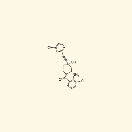 Nc1c(Cl)cccc1C(=O)N1CCC(O)(C#Cc2cccc(Cl)c2)CC1